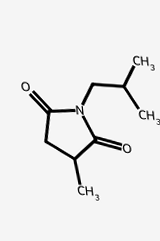 CC(C)CN1C(=O)CC(C)C1=O